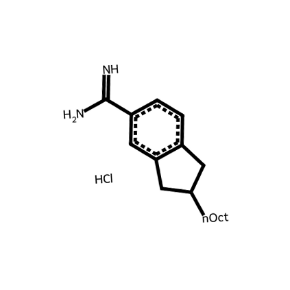 CCCCCCCCC1Cc2ccc(C(=N)N)cc2C1.Cl